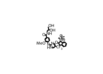 COc1cc(C(=O)NC[C@H](O)CO)ccc1Nc1ncc(C(F)(F)F)c(O[C@@H]2Cc3ccccc3[C@H]2N(C)S(C)(=O)=O)n1